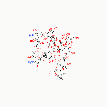 CC1C(O)[C@H](O[C@@H]2OC(CO)[C@H](O)C(O[C@]3(C(=O)O)C[C@@H](O)[C@@H](N)C([C@H](O)[C@H](O)CO)O3)[C@@H]2O)[C@H](CO)O[C@H]1OC1C(O)[C@H](O)C(CO)O[C@@H]1OCC1O[C@@H](O[C@@H]2C(CO)O[C@@H](O[C@@H]3C(CO)O[C@@H](C)[C@@H](C)C3O)[C@@H](C)C2O)[C@H](O)C(O[C@H]2O[C@H](CO)[C@@H](O)C(O)C2O[C@@H]2OC(CO)[C@@H](O[C@@H]3OC(CO)[C@H](O)C(O[C@]4(C(=O)O)C[C@@H](O)[C@@H](N)C([C@H](O)[C@H](O)CO)O4)[C@@H]3O)C(O)[C@@H]2C)[C@@H]1O